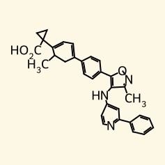 Cc1noc(-c2ccc(C3=CC=C(C4(C(=O)O)CC4)C(C)C3)cc2)c1Nc1ccnc(-c2ccccc2)c1